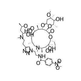 CC[C@H]1OC(=O)[C@H](C)[C@@H](O[C@H]2C[C@@](C)(OC)[C@@H](O)[C@H](C)O2)[C@H](C)[C@@H](O[C@@H]2O[C@H](C)C[C@H](N(C)CCc3cn(CCNC(=O)c4ccc([N+](=O)[O-])cc4)nn3)[C@H]2O)[C@](C)(O)C[C@@H](C)CN(C)[C@H](C)[C@@H](O)[C@]1(C)O